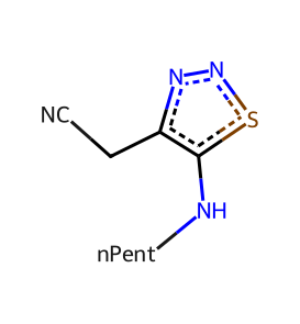 CCCCCNc1snnc1CC#N